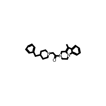 Cc1c2n(c3ccccc13)CCN(C(=O)CN1CCC(Cc3ccccc3)CC1)C2